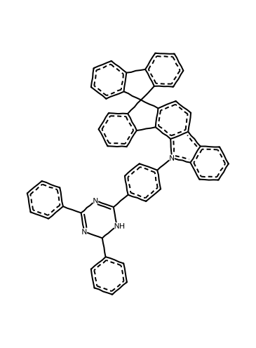 c1ccc(C2=NC(c3ccccc3)NC(c3ccc(-n4c5ccccc5c5ccc6c(c54)-c4ccccc4C64c5ccccc5-c5ccccc54)cc3)=N2)cc1